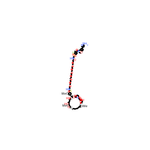 CO[C@H]1C[C@@H]2CC[C@@H](C)[C@@](O)(O2)C(=O)C(=O)N2CCCC[C@H]2C(=O)O[C@H]([C@H](C)C[C@@H]2CC[C@@H](OC(=S)NCCOCCOCCOCCOCCOCCOCCOCCOCCC(=O)NCCS(=O)(=O)c3ccc(C(=O)N4CCOc5ccc(-c6ccc(N)nc6)cc5C4)c(C)c3F)[C@H](OC)C2)CC(O)[C@H](C)/C=C(\C)[C@@H](O)[C@@H](OC)C(=O)[C@H](C)C[C@H](C)/C=C/C=C/C=C/1C